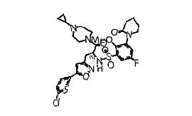 COc1c(N2CCCCC2=O)cc(F)cc1S(=O)(=O)N[C@@H](Cc1cc(-c2ccc(Cl)s2)on1)C(=O)N1CCN(C2CC2)CC1